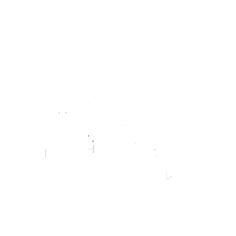 CC(C)C(=O)Nc1ccccc1SSC(C)(C)C